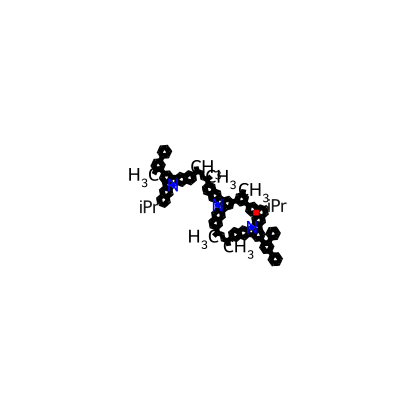 Cc1cc(-c2ccccc2)cc(-c2cc3c4cc5cc(C(C)CCC(C)c6ccc7cc8c(cc7c6)c6cc(-c7cc(-c9ccccc9)ccc7C)cc7c9cc%10cc(C(C)C)ccc%10cc9n8c76)ccc5cc4n4c5cc6ccc(C(C)CCC(C)c7ccc8cc9c(cc8c7)c7cc(-c8ccc(-c%10ccccc%10)cc8-c8ccccc8)cc8c%10cc%11cc(C(C)C)ccc%11cc%10n9c87)cc6cc5c(c2)c34)c1